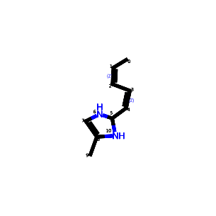 C/C=C\C=C/C1NC=C(C)N1